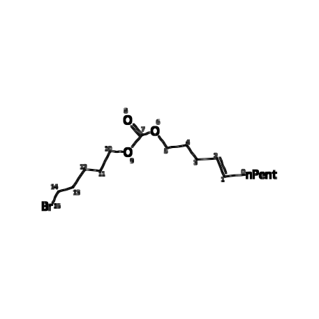 CCCCCC=CCCCOC(=O)OCCCCCBr